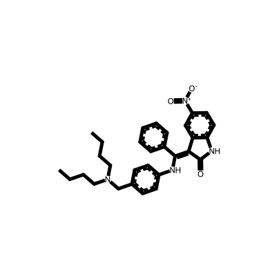 CCCCN(CCCC)Cc1ccc(N/C(=C2\C(=O)Nc3ccc([N+](=O)[O-])cc32)c2ccccc2)cc1